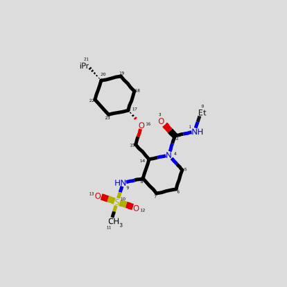 CCNC(=O)N1CCCC(NS(C)(=O)=O)C1CO[C@H]1CC[C@@H](C(C)C)CC1